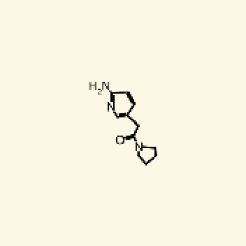 Nc1ccc(CC(=O)N2CCCC2)cn1